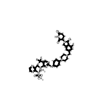 CN(c1nccnc1CNc1nc(Nc2ccc(N3CCN(Cc4cc(F)c5c(c4)CN(C4CCC(=O)NC4=O)C5=O)CC3)cc2)ncc1C(F)(F)F)S(C)(=O)=O